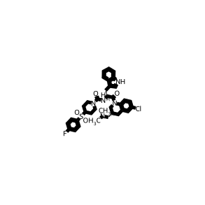 CN(C)C[C@H]1Cc2cc(Cl)ccc2N(C(=O)[C@@H](Cc2c[nH]c3ccccc23)NC(=O)N2CCC(S(=O)(=O)c3ccc(F)cc3)CC2)C1